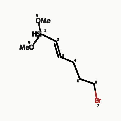 CO[SiH](C=CCCCBr)OC